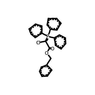 O=C(OCc1ccccc1)C(Cl)=P(c1ccccc1)(c1ccccc1)c1ccccc1